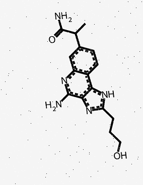 CC(C(N)=O)c1ccc2c(c1)nc(N)c1nc(CCCO)[nH]c12